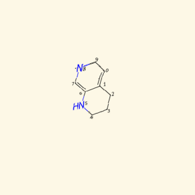 C1=C2CCCNC2=C[N]C1